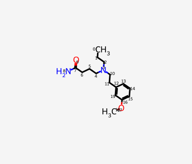 CCCN(CCCC(N)=O)CCc1cccc(OC)c1